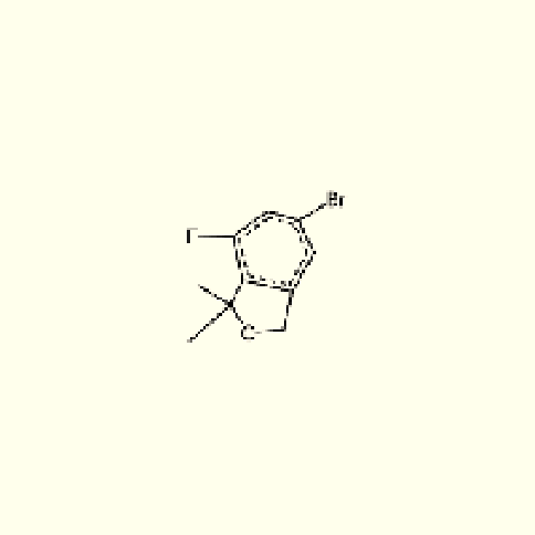 CC1(C)OCc2cc(Br)cc(F)c21